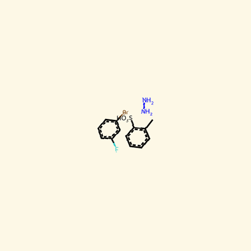 Cc1ccccc1S(=O)(=O)O.Fc1cccc(Br)c1.NN